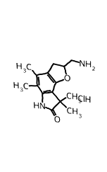 Cc1c(C)c2c(c3c1CC(CN)O3)C(C)(C)C(=O)N2.Cl